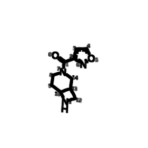 O=C(c1ccon1)N1CCC2NCC2C1